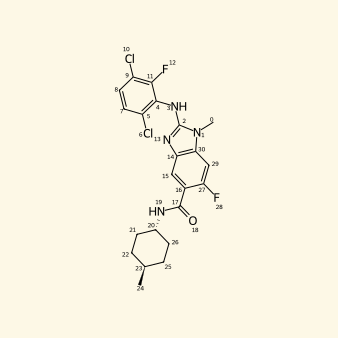 Cn1c(Nc2c(Cl)ccc(Cl)c2F)nc2cc(C(=O)N[C@H]3CC[C@H](C)CC3)c(F)cc21